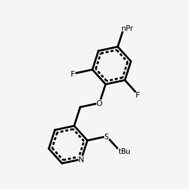 CCCc1cc(F)c(OCc2cccnc2SC(C)(C)C)c(F)c1